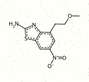 COCCc1cc([N+](=O)[O-])cc2sc(N)nc12